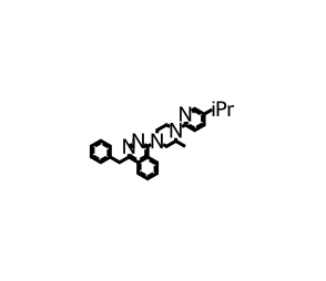 CC(C)c1ccc(N2CCN(c3nnc(Cc4ccccc4)c4ccccc34)CC2C)nc1